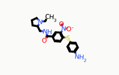 CCN1CCCC1CNC(=O)c1ccc(Sc2ccc(N)cc2)c([N+](=O)[O-])c1